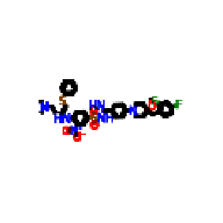 COC1(Cc2ccc(F)cc2F)CCN(c2ccc(C(=N)NS(=O)(=O)c3ccc(N[C@H](CCN(C)C)CSc4ccccc4)c([N+](=O)[O-])c3)cc2)CC1